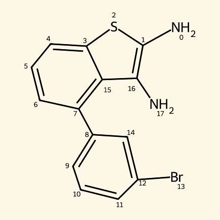 Nc1sc2cccc(-c3cccc(Br)c3)c2c1N